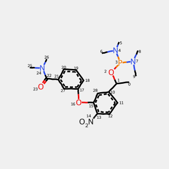 CC(OP(N(C)C)N(C)C)c1ccc([N+](=O)[O-])c(Oc2cccc(C(=O)N(C)C)c2)c1